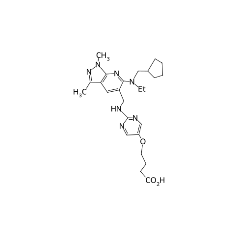 CCN(CC1CCCC1)c1nc2c(cc1CNc1ncc(OCCCC(=O)O)cn1)c(C)nn2C